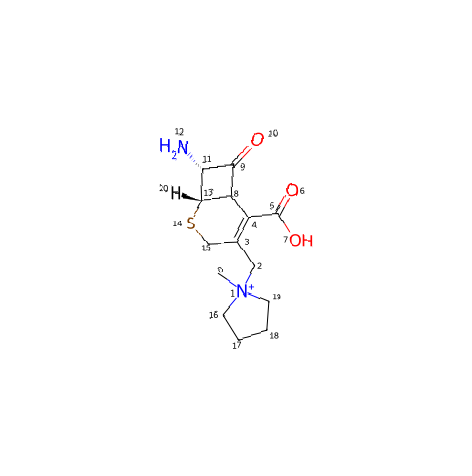 C[N+]1(CC2=C(C(=O)O)C3C(=O)[C@@H](N)[C@H]3SC2)CCCC1